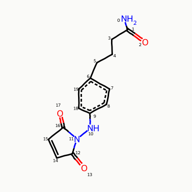 NC(=O)CCCc1ccc(NN2C(=O)C=CC2=O)cc1